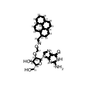 Nc1nc2c(ncn2[C@@H]2O[C@H](CO)[C@@H](O)[C@H]2OCON=Cc2ccc3ccc4cccc5ccc2c3c45)c(=O)[nH]1